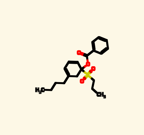 CCCCC1=CC=CC(OC(=O)c2ccccc2)(S(=O)(=O)CCC)C1